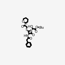 CC(C)(C)OC(=O)C(O)N1C(=O)[C@@H](NC(=O)Cc2ccccc2)[C@H]1SCC(=O)[C@H]1CCCCO1